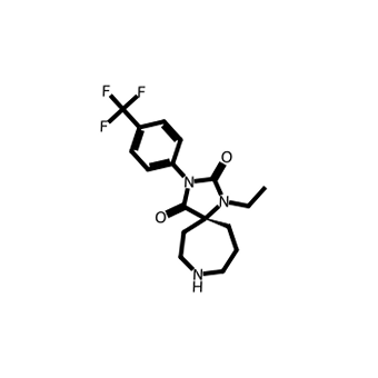 CCN1C(=O)N(c2ccc(C(F)(F)F)cc2)C(=O)[C@]12CCCNCC2